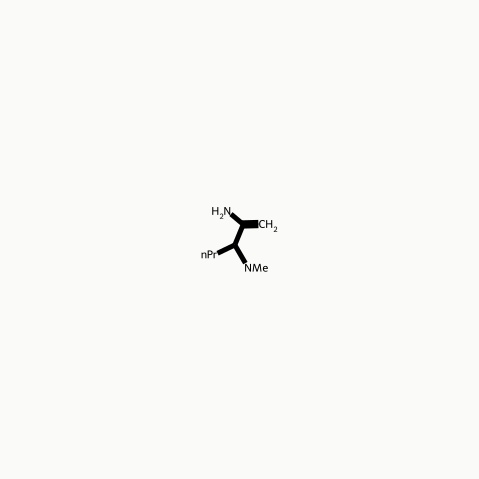 C=C(N)C(CCC)NC